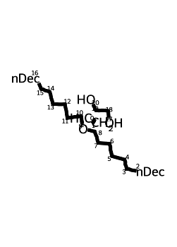 C=C.CCCCCCCCCCCCCCCCOCCCCCCCCCCCCCCCC.OCCO